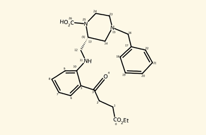 CCOC(=O)CCC(=O)c1ccccc1NC[C@H]1CN(Cc2ccccc2)CCN1C(=O)O